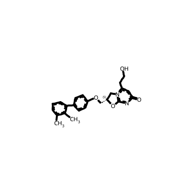 Cc1cccc(-c2ccc(OC[C@@H]3Cn4c(CCO)cc(=O)nc4O3)cc2)c1C